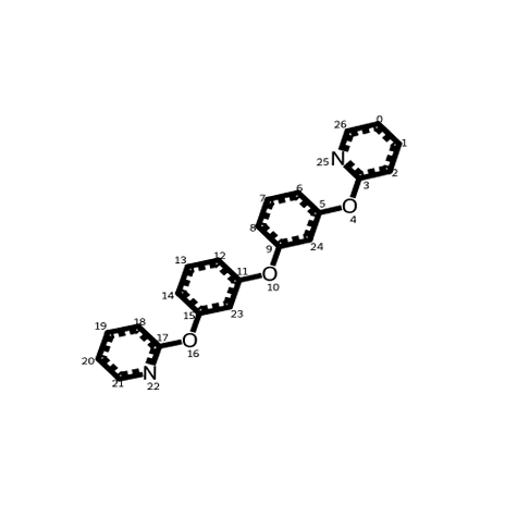 c1ccc(Oc2cccc(Oc3cccc(Oc4ccccn4)c3)c2)nc1